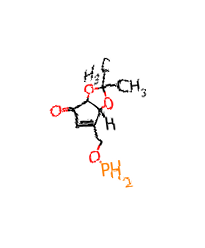 CC1(C)OC2C(=O)C=C(COP)[C@H]2O1